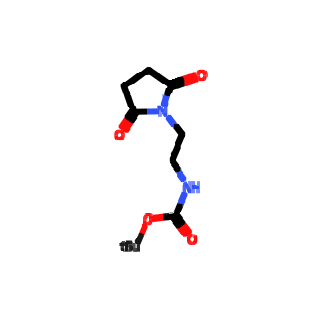 CC(C)(C)OC(=O)NCCN1C(=O)CCC1=O